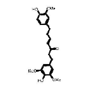 COc1cc(CC/C=C/C(=O)CCc2cc(OC)c(O)c(OC)c2)ccc1O